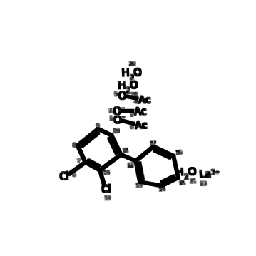 CC(=O)[O-].CC(=O)[O-].CC(=O)[O-].Clc1cccc(-c2ccccc2)c1Cl.O.O.O.[La+3]